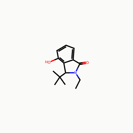 CCN1C(=O)c2cccc(O)c2C1C(C)(C)C